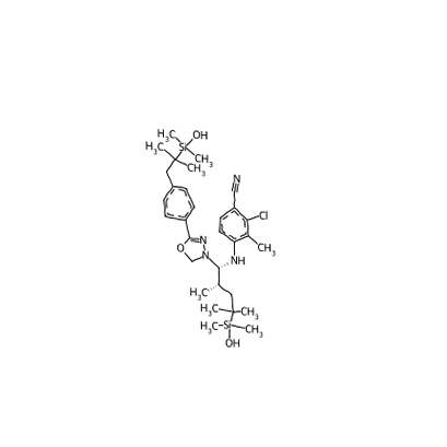 Cc1c(N[C@H]([C@@H](C)CC(C)(C)[Si](C)(C)O)N2COC(c3ccc(CC(C)(C)[Si](C)(C)O)cc3)=N2)ccc(C#N)c1Cl